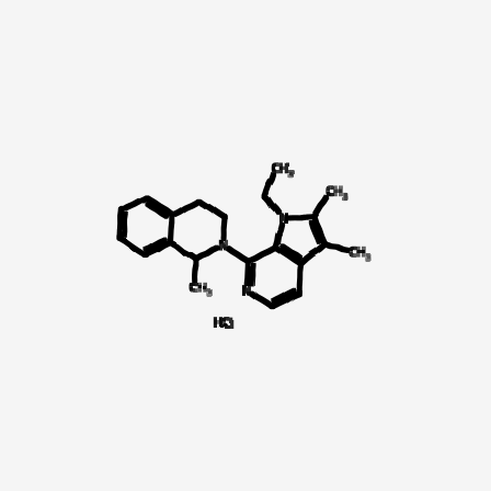 CCn1c(C)c(C)c2ccnc(N3CCc4ccccc4C3C)c21.Cl